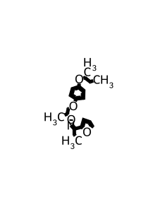 CCC(=NOC(C)COc1ccc(OC(C)CC)cc1)c1ccco1